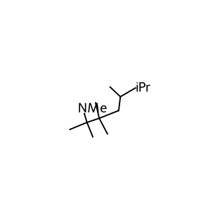 CNC(C)(C)C(C)(C)CC(C)C(C)C